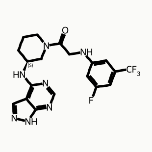 O=C(CNc1cc(F)cc(C(F)(F)F)c1)N1CCC[C@H](Nc2ncnc3[nH]ncc23)C1